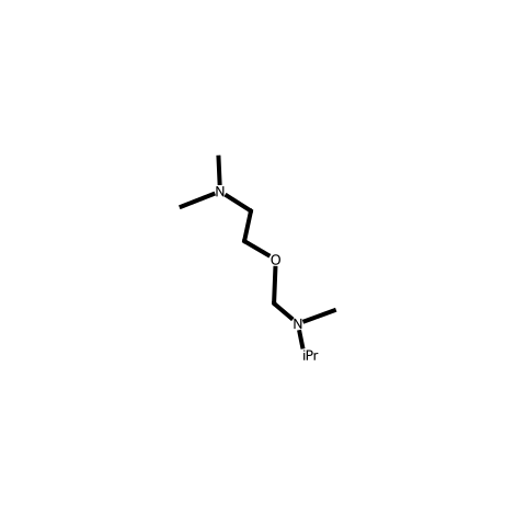 CC(C)N(C)COCCN(C)C